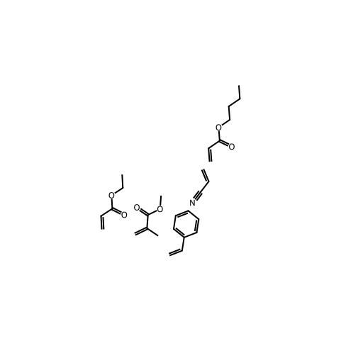 C=C(C)C(=O)OC.C=CC#N.C=CC(=O)OCC.C=CC(=O)OCCCC.C=Cc1ccccc1